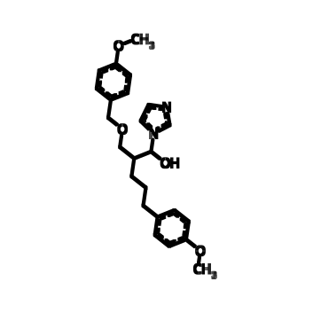 COc1ccc(CCCC(COCc2ccc(OC)cc2)C(O)n2ccnc2)cc1